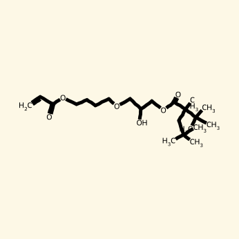 C=CC(=O)OCCCCOCC(O)COC(=O)C(C)(CC(C)(C)C)C(C)(C)C